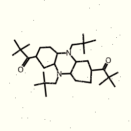 CC(C)(C)CN1C2CCC(C(=O)C(C)(C)C)CC2N(CC(C)(C)C)C2CCC(C(=O)C(C)(C)C)CC21